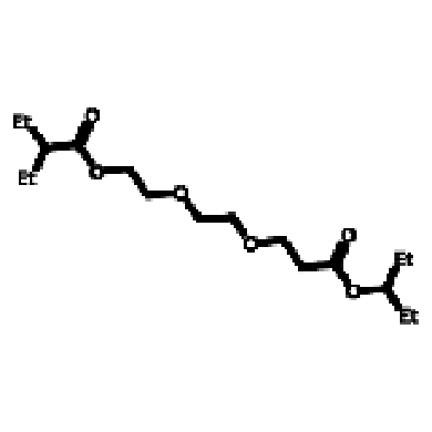 CCC(CC)OC(=O)CCOCCOCCOC(=O)C(CC)CC